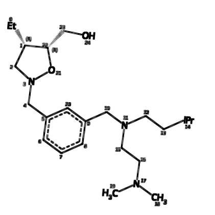 CC[C@H]1CN(Cc2cccc(CN(CCC(C)C)CCN(C)C)c2)O[C@H]1CO